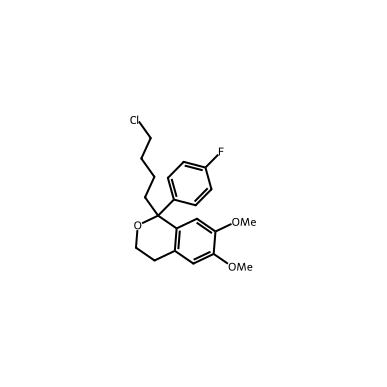 COc1cc2c(cc1OC)C(CCCCCl)(c1ccc(F)cc1)OCC2